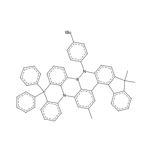 Cc1cc2c3c(c1)N1c4ccccc4C(c4ccccc4)(c4ccccc4)c4cccc(c41)B3N(c1ccc(C(C)(C)C)cc1)c1ccc3c(c1-2)-c1ccccc1C3(C)C